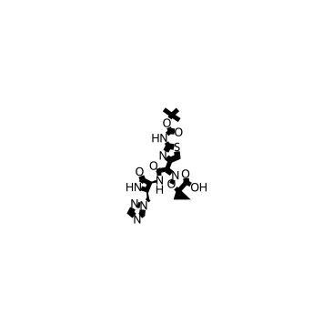 CC(C)(C)OC(=O)Nc1nc(/C(=N/OC2(C(=O)O)CC2)C(=O)N[C@@H]2C(=O)N[C@@H]2Cn2cncn2)cs1